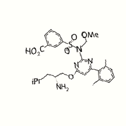 COCN(c1nc(OC[C@H](N)CC(C)C)cc(-c2c(C)cccc2C)n1)S(=O)(=O)c1cccc(C(=O)O)c1